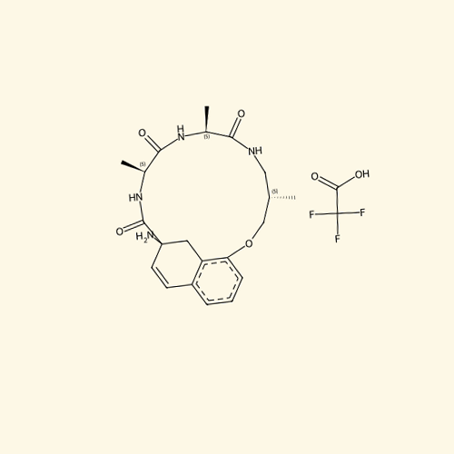 C[C@H]1CNC(=O)[C@H](C)NC(=O)[C@H](C)NC(=O)C2(N)C=Cc3cccc(c3C2)OC1.O=C(O)C(F)(F)F